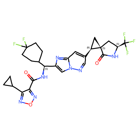 O=C(N[C@H](c1cn2ncc([C@H]3C[C@]34C[C@@H](C(F)(F)F)NC4=O)cc2n1)C1CCC(F)(F)CC1)c1nonc1C1CC1